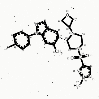 Cc1cc2c(cnn2-c2ccc(F)cc2)cc1[C@H]1CN(S(=O)(=O)c2cnn(C)n2)CCN1C1COC1